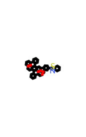 CC1(C)c2cc(C3=NC4C=CC=CC4S3)ccc2-c2cc3c(-c4ccccc4-c4ccccc4)c4ccccc4c(-c4ccccc4-c4ccccc4)c3cc21